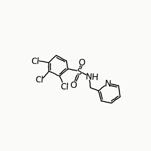 O=S(=O)(NCc1ccccn1)c1ccc(Cl)c(Cl)c1Cl